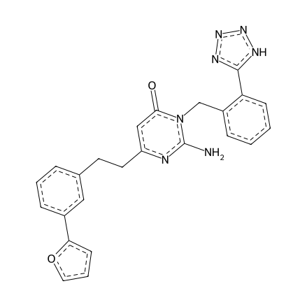 Nc1nc(CCc2cccc(-c3ccco3)c2)cc(=O)n1Cc1ccccc1-c1nnn[nH]1